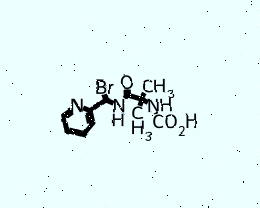 CC(C)(NC(=O)O)C(=O)NC(Br)c1ccccn1